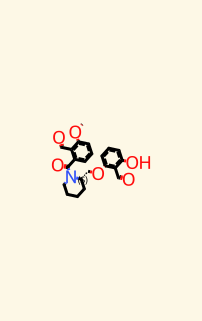 COc1cccc(C(=O)N2CCCC[C@H]2COc2cccc(O)c2C=O)c1C=O